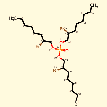 CCCCCCC(Br)COP(=O)(OCC(Br)CCCCCC)OCC(Br)CCCCCC